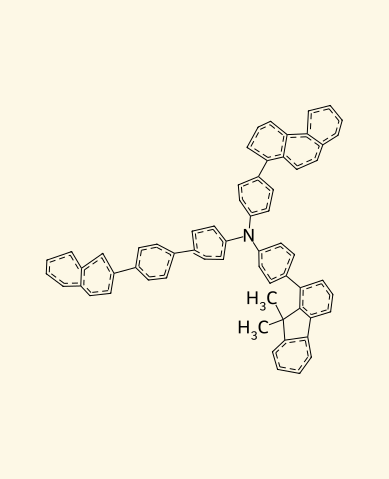 CC1(C)c2ccccc2-c2cccc(-c3ccc(N(c4ccc(-c5ccc(-c6ccc7ccccc7c6)cc5)cc4)c4ccc(-c5cccc6c5ccc5ccccc56)cc4)cc3)c21